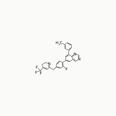 Cc1cccc(-c2cc(-c3ccc(CC4=NCCC(C(F)(F)F)=C4)cc3F)cc3cncnc23)c1